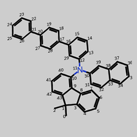 CC1(C)c2ccccc2-c2c(N(c3cccc(-c4ccc(-c5ccccc5)cc4)c3)c3ccc4ccccc4c3)cccc21